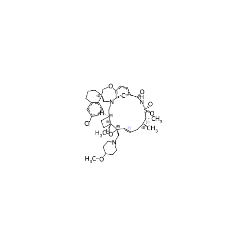 COC1CCN(C[C@]2(OC)/C=C/C[C@H](C)[C@@H](C)S(=O)(=O)NC(=O)c3ccc4c(c3)N(C[C@@H]3CC[C@H]32)C[C@@]2(CCCc3cc(Cl)ccc32)CO4)CC1